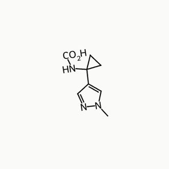 Cn1cc(C2(NC(=O)O)CC2)cn1